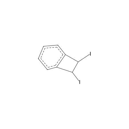 IC1c2ccccc2C1I